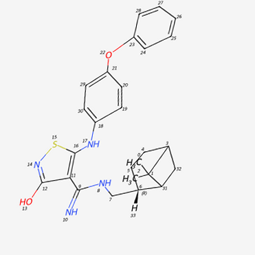 CC1(C)C2CC[C@@H](CNC(=N)c3c(O)nsc3Nc3ccc(Oc4ccccc4)cc3)C1C2